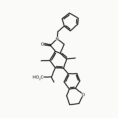 Cc1c2c(c(C)c(C(C)C(=O)O)c1-c1ccc3c(c1)CCCO3)C(=O)N(Cc1ccccc1)C2